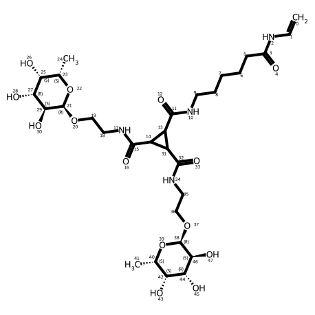 C=CNC(=O)CCCCCNC(=O)C1C(C(=O)NCCO[C@@H]2O[C@@H](C)[C@@H](O)[C@@H](O)[C@@H]2O)C1C(=O)NCCO[C@@H]1O[C@@H](C)[C@@H](O)[C@@H](O)[C@@H]1O